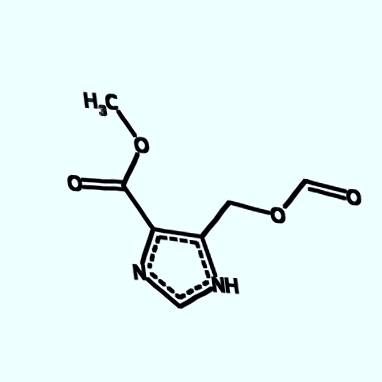 COC(=O)c1nc[nH]c1COC=O